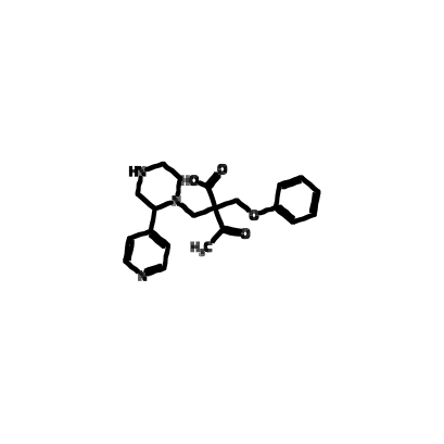 CC(=O)C(COc1ccccc1)(CN1CCNCC1c1ccncc1)C(=O)O